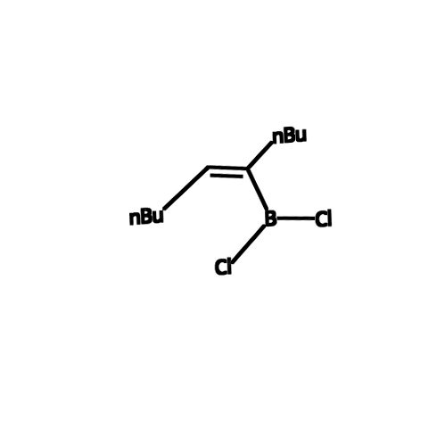 CCCCC=C(CCCC)B(Cl)Cl